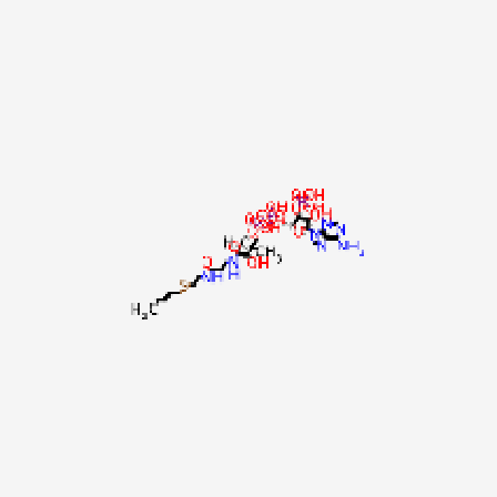 C=CC=CCSCCNC(=O)CCNC(=O)[C@H](O)C(C)(C)COP(=O)(O)OP(=O)(O)OC[C@H]1O[C@@H](n2cnc3c(N)ncnc32)[C@H](O)[C@@H]1OP(=O)(O)O